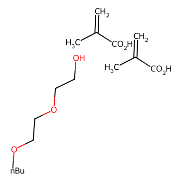 C=C(C)C(=O)O.C=C(C)C(=O)O.CCCCOCCOCCO